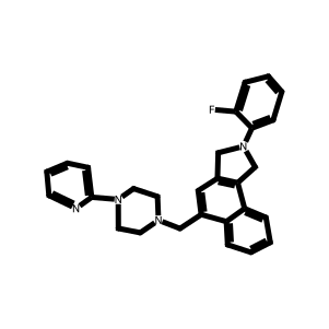 Fc1ccccc1N1Cc2cc(CN3CCN(c4ccccn4)CC3)c3ccccc3c2C1